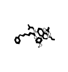 C=CCN1CC[C@@]2(c3cccc(OC)c3)C[C@H](N(CC(C)C)C(=O)CCCCCc3ccccc3)CC[C@]2(OC(C)=O)C1